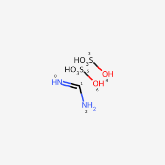 N=CN.O=S(=O)(O)O.O=S(=O)(O)O